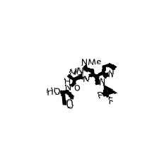 CNc1cc(-c2cn([C@@H]3CC3(F)F)c3ncccc23)nc2c(C(=O)NC3COCC3O)cnn12